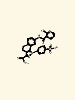 CCCS(=O)(=O)c1ccc(-n2nc(C(N)=O)c3c2-c2cc(NC(=O)c4cccnc4Cl)ccc2CC3)cc1